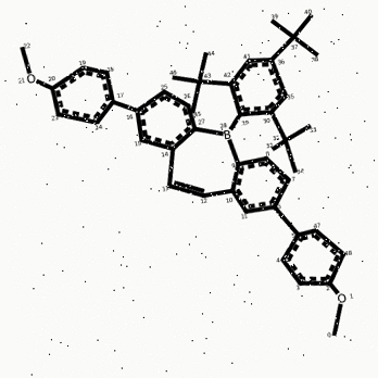 COc1ccc(-c2ccc3c(c2)C=Cc2cc(-c4ccc(OC)cc4)ccc2B3c2c(C(C)(C)C)cc(C(C)(C)C)cc2C(C)(C)C)cc1